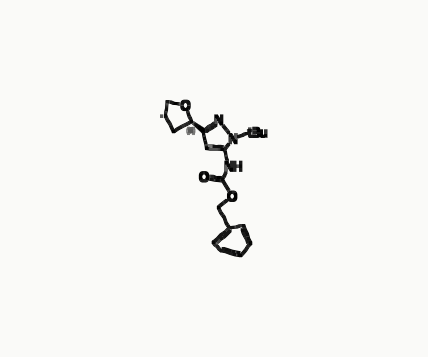 CC(C)(C)n1nc([C@H]2C[CH]CO2)cc1NC(=O)OCc1ccccc1